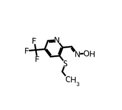 CCSc1cc(C(F)(F)F)cnc1C=NO